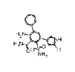 NC(=O)c1c(N)c(-c2ccccc2)cc(-c2c[nH]c(Cl)c2)c1S(N)(=O)=O